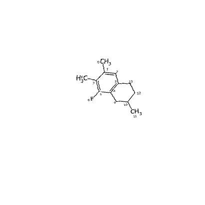 Cc1cc2c(c(F)c1C)CC(C)CC2